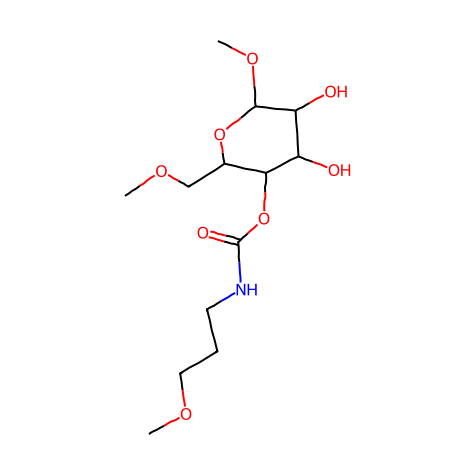 COCCCNC(=O)OC1C(COC)OC(OC)C(O)C1O